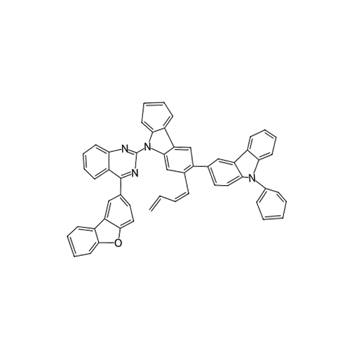 C=C/C=C\c1cc2c(cc1-c1ccc3c(c1)c1ccccc1n3-c1ccccc1)c1ccccc1n2-c1nc(-c2ccc3oc4ccccc4c3c2)c2ccccc2n1